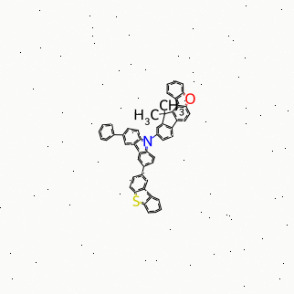 CC1(C)c2cc(-n3c4ccc(-c5ccccc5)cc4c4cc(-c5ccc6sc7ccccc7c6c5)ccc43)ccc2-c2ccc3oc4ccccc4c3c21